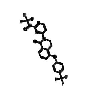 O=C1c2cccc(Oc3ccc(C(F)(F)F)cc3)c2CCN1c1ccnc([S+]([O-])C(F)(F)F)n1